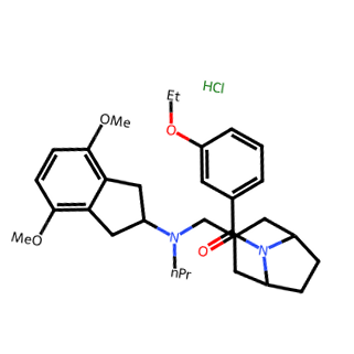 CCCN(CC1CC2CCC(C1)N2C(=O)c1cccc(OCC)c1)C1Cc2c(OC)ccc(OC)c2C1.Cl